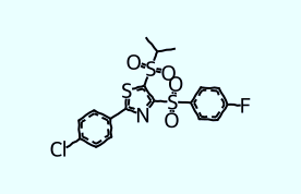 CC(C)S(=O)(=O)c1sc(-c2ccc(Cl)cc2)nc1S(=O)(=O)c1ccc(F)cc1